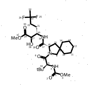 COC(=O)N[C@H](C(=O)N1CC2(CCCCC2)C[C@H]1C(=O)N[C@@H](CCC(C)(F)F)C(O)C(=O)OC)C(C)(C)C